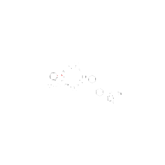 COC[C@@H]1NC(=O)[C@H](C)N(Cc2c(F)cc(Cl)cc2Oc2ccc(-c3cnc(CN4CCC4)n3C)cc2)C(=O)C[C@@H](CC(F)(F)F)C(=O)N2CCC[C@@](Cc3ccc(Cl)cc3)(C2)N(C)C1=O